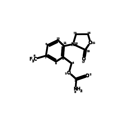 NC(=O)OCc1cc(C(F)(F)F)ccc1N1CCOC1=O